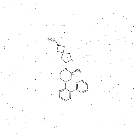 CCOC(=O)N1CC2(CCC(N3CCN(c4ncccc4-c4cnccn4)C[C@@H]3C)C2)C1